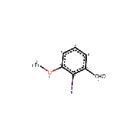 CCCOc1cccc(C=O)c1I